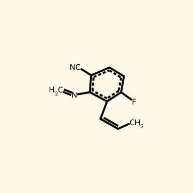 C=Nc1c(C#N)ccc(F)c1/C=C\C